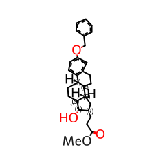 COC(=O)CC[C@@H]1C[C@H]2[C@@H]3CCc4cc(OCc5ccccc5)ccc4[C@H]3CC[C@]2(C)[C@H]1O